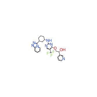 OC(COc1nc(NC2CCCC(c3nnc4ccccn34)C2)ncc1C(F)(F)F)c1cccnc1